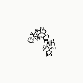 Cc1ccc(F)c(NC(=O)Nc2ccc(-c3ccnc4c3C(N)N(C3(C(=O)N5CCCC5)CC3)N4C)cc2)c1